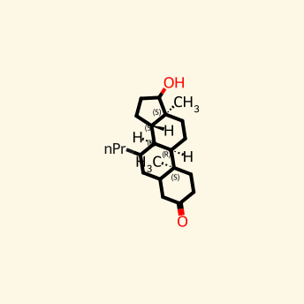 CCCC1CC2CC(=O)CC[C@]2(C)[C@@H]2CC[C@]3(C)C(O)CC[C@H]3[C@H]12